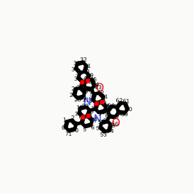 c1ccc(-c2ccc(N(c3ccccc3-c3ccccc3N(c3cccc(-c4ccc5ccccc5c4)c3)c3cccc4oc5ccccc5c34)c3cccc4oc5c6ccccc6ccc5c34)cc2)cc1